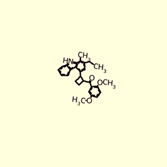 CCc1cc(C2CCC2C(=O)c2cc(OC)ccc2OC)c2c([nH]c3ccccc32)c1C